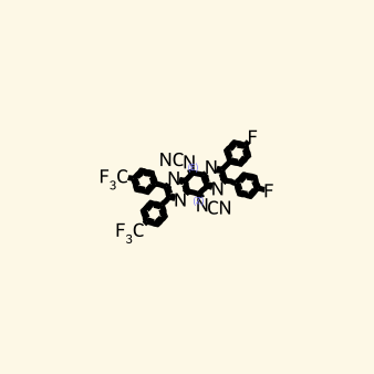 N#C/N=C1\c2nc(-c3ccc(F)cc3)c(-c3ccc(F)cc3)nc2/C(=N/C#N)c2nc(-c3ccc(C(F)(F)F)cc3)c(-c3ccc(C(F)(F)F)cc3)nc21